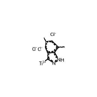 Cc1cc(C)c2[nH]n[c]([Ti+3])c2c1.[Cl-].[Cl-].[Cl-]